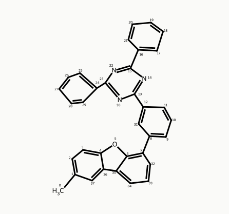 Cc1ccc2oc3c(-c4cccc(-c5nc(-c6ccccc6)nc(-c6ccccc6)n5)c4)cccc3c2c1